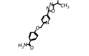 CC(F)c1nnc(-c2ccc(COc3ccc(C(N)=O)cc3)nc2)o1